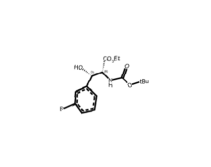 CCOC(=O)[C@H](NC(=O)OC(C)(C)C)[C@@H](O)c1cccc(F)c1